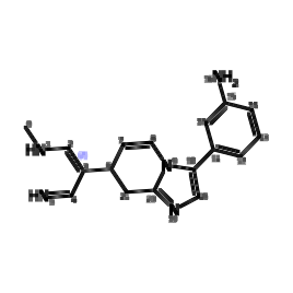 CN/C=C(\C=N)C1C=Cn2c(-c3cccc(N)c3)cnc2C1